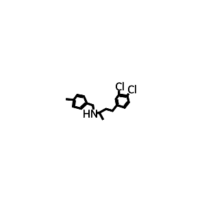 Cc1ccc(CNC(C)CCc2ccc(Cl)c(Cl)c2)cc1